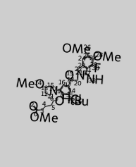 COC(=O)CCCCOc1c(N2CCC(OC)C2)cc(C(=O)CN2Cc3cc(OC)c(OC)c(F)c3C2=N)cc1C(C)(C)C.Cl